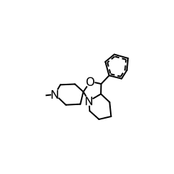 CN1CCC2(CC1)OC(c1ccccc1)C1CCCCN12